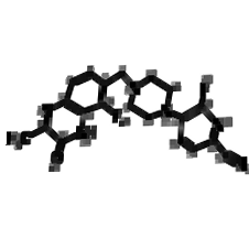 Cc1nc2ccc(CN3CCN(c4ccc(C#N)nc4F)CC3)c(F)c2[nH]c1=O